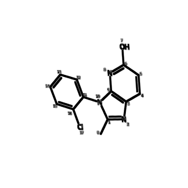 Cc1nc2ccc(O)nc2n1-c1ccccc1Cl